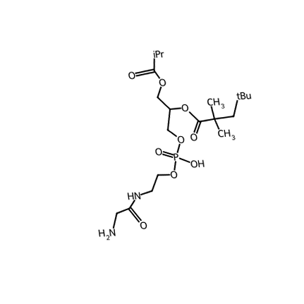 CC(C)C(=O)OCC(COP(=O)(O)OCCNC(=O)CN)OC(=O)C(C)(C)CC(C)(C)C